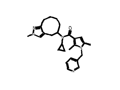 Cc1cc(C(=O)N(C2CC2)C2CCCCc3nn(C)cc3C2)c(C)n1Cc1cccnc1